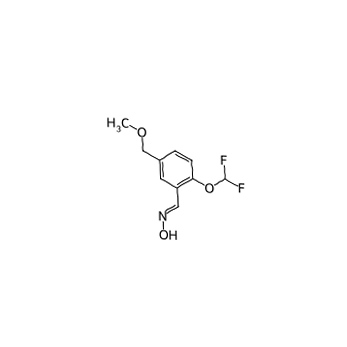 COCc1ccc(OC(F)F)c(C=NO)c1